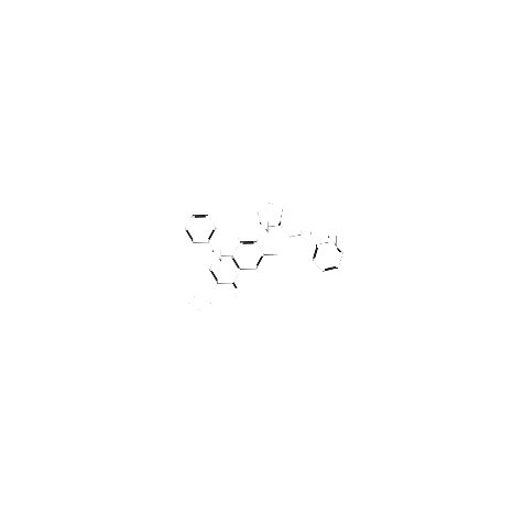 O=C(O)c1cn(-c2ccccc2)c2c(F)c(N3CCC[C@H]3COc3ccccn3)c(F)cc2c1=O